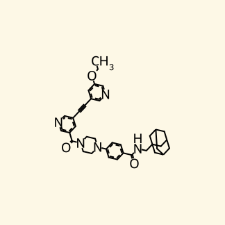 CCOc1cncc(C#Cc2cncc(C(=O)N3CCN(c4ccc(C(=O)NCC56CC7CC(CC(C7)C5)C6)cc4)CC3)c2)c1